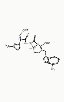 CO/N=C(\C(=O)N[C@@H]1C(=O)N2C(C(=O)[O-])=C(Cn3cn[n+]4c(C)cccc34)CS[C@@H]12)c1csc(N)n1